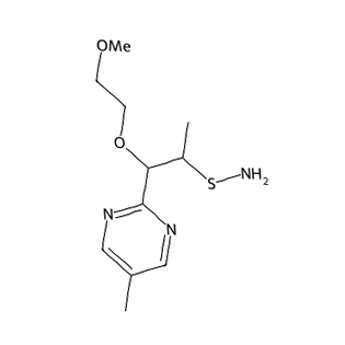 COCCOC(c1ncc(C)cn1)C(C)SN